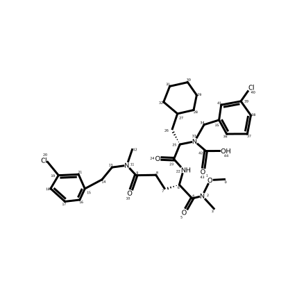 CON(C)C(=O)[C@H](CCC(=O)N(C)CCc1cccc(Cl)c1)NC(=O)[C@H](CC1CCCCC1)N(Cc1cccc(Cl)c1)C(=O)O